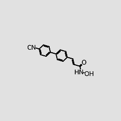 [C-]#[N+]c1ccc(-c2ccc(/C=C/C(=O)NO)cc2)cc1